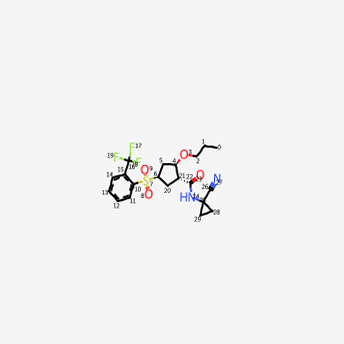 CCCO[C@@H]1C[C@H](S(=O)(=O)c2ccccc2C(F)(F)F)C[C@H]1C(=O)NC1(C#N)CC1